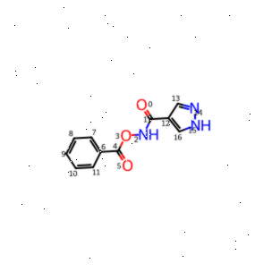 O=C(NOC(=O)c1ccccc1)c1cn[nH]c1